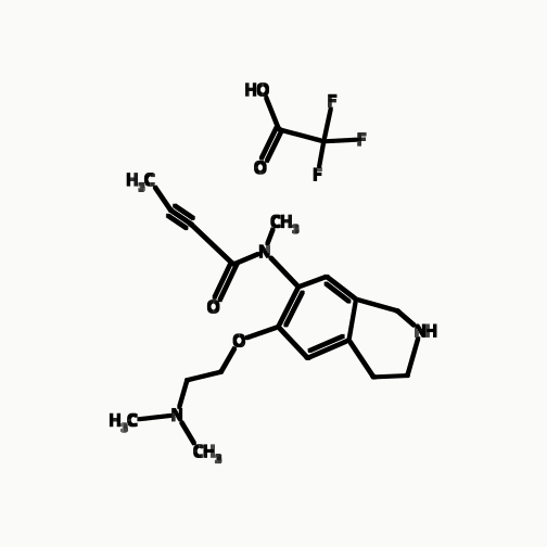 CC#CC(=O)N(C)c1cc2c(cc1OCCN(C)C)CCNC2.O=C(O)C(F)(F)F